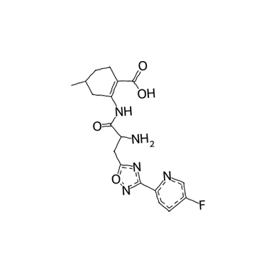 CC1CCC(C(=O)O)=C(NC(=O)C(N)Cc2nc(-c3ccc(F)cn3)no2)C1